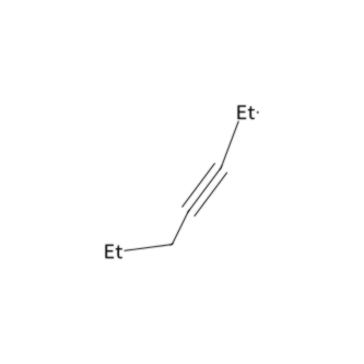 C[CH]C#CCCC